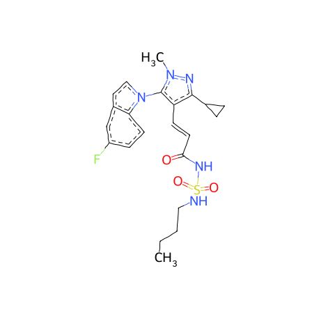 CCCCNS(=O)(=O)NC(=O)C=Cc1c(C2CC2)nn(C)c1-n1ccc2cc(F)ccc21